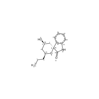 CCC[C@H]1C[C@@H](O)C[C@@]2(O1)C(=O)Nc1ccccc12